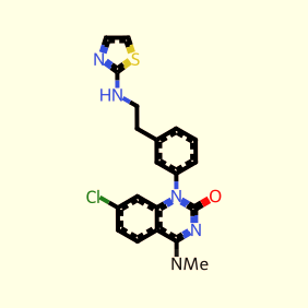 CNc1nc(=O)n(-c2cccc(CCNc3nccs3)c2)c2cc(Cl)ccc12